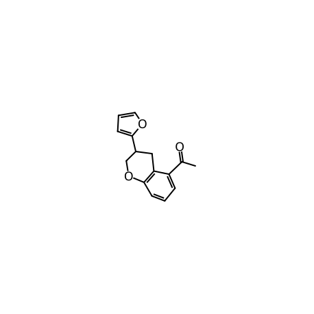 CC(=O)c1cccc2c1CC(c1ccco1)CO2